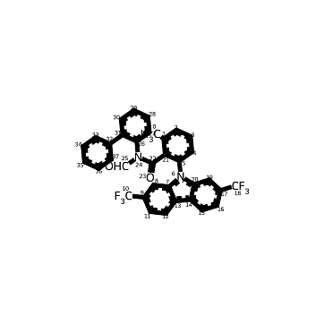 Cc1cccc(-n2c3cc(C(F)(F)F)ccc3c3ccc(C(F)(F)F)cc32)c1C(=O)N(C=O)c1ccccc1-c1ccccc1